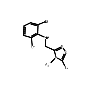 CCc1cccc(CC)c1NCc1nnc(CC)n1C